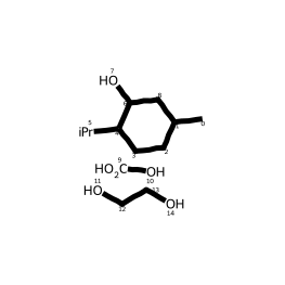 CC1CCC(C(C)C)C(O)C1.O=C(O)O.OCCO